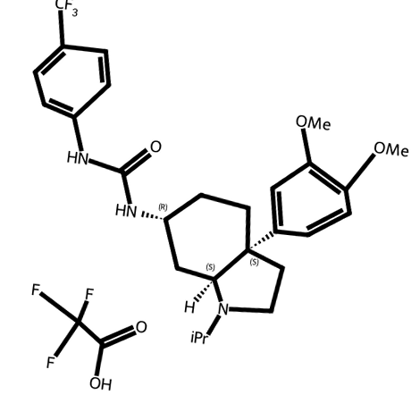 COc1ccc([C@@]23CC[C@@H](NC(=O)Nc4ccc(C(F)(F)F)cc4)C[C@@H]2N(C(C)C)CC3)cc1OC.O=C(O)C(F)(F)F